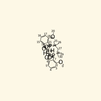 COc1cccc2c1[P@@]1(=O)[C@H](O2)[C@H]2Oc3cccc(OC)c3[P@]2(=O)C(C)(C)CC1(C)C